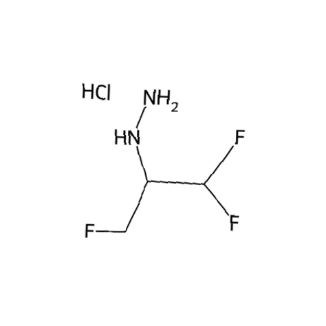 Cl.NNC(CF)C(F)F